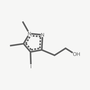 Cc1c(I)c(CCO)nn1C